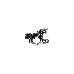 COc1cccc(N[C@H]2CCCCC/C=C\[C@@H]3C[C@@]3(C(=O)NS(=O)(=O)C3(C)CC3)NC(=O)[C@@H]3C[C@@H](Oc4nc5ccc(C)cc5s4)CN3C2=O)c1